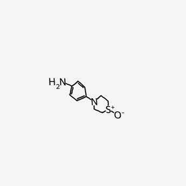 Nc1ccc(N2CC[S+]([O-])CC2)cc1